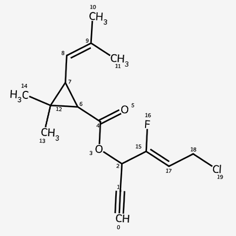 C#CC(OC(=O)C1C(C=C(C)C)C1(C)C)C(F)=CCCl